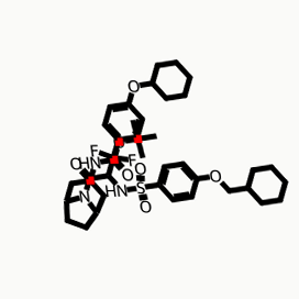 CC(C)(C)OC(=O)NC1CC2CCC(C1)N2C(=O)C(NS(=O)(=O)c1ccc(OCC2CCCCC2)cc1)C(F)(F)c1ccc(OC2CCCCC2)cc1